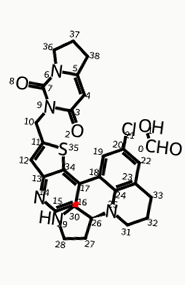 O=CO.O=c1cc2n(c(=O)n1Cc1cc3nccc(-c4cc(Cl)cc5c4N([C@H]4CCNC4)CCC5)c3s1)CCC2